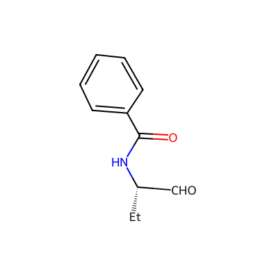 CC[C@@H](C=O)NC(=O)c1ccccc1